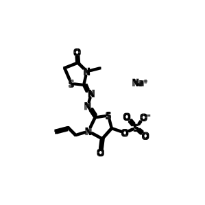 C=CCN1C(=O)C(OS(=O)(=O)[O-])SC1=NN=C1SCC(=O)N1C.[Na+]